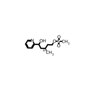 C[C@H](CCOS(C)(=O)=O)CC(O)c1ccccn1